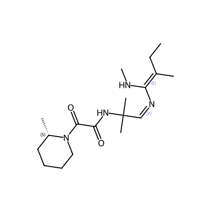 CC/C(C)=C(/N=C\C(C)(C)NC(=O)C(=O)N1CCCC[C@@H]1C)NC